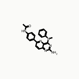 CC(=O)Nc1ccc(-c2ccc3nc(N)nc(N(C)c4ccccc4)c3n2)cc1